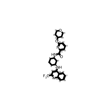 O=C(N[C@@H]1CCC[C@H](Nc2cc(C(F)(F)F)nc3ccccc23)C1)c1cccc(OC2CCOCC2)n1